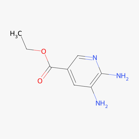 CCOC(=O)c1cnc(N)c(N)c1